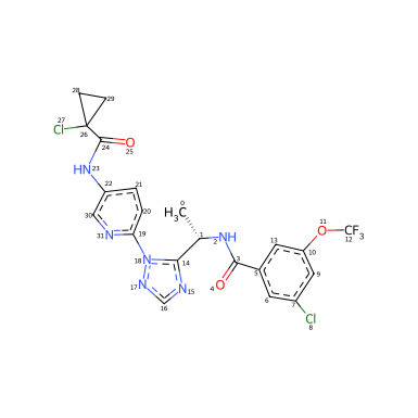 C[C@H](NC(=O)c1cc(Cl)cc(OC(F)(F)F)c1)c1ncnn1-c1ccc(NC(=O)C2(Cl)CC2)cn1